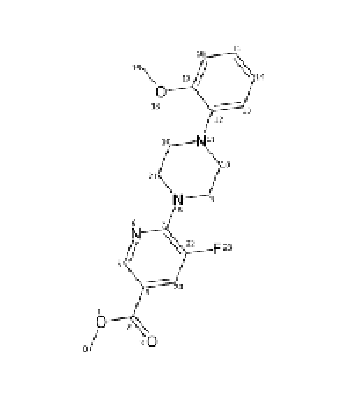 COC(=O)c1cnc(N2CCN(c3ccccc3OC)CC2)c(F)c1